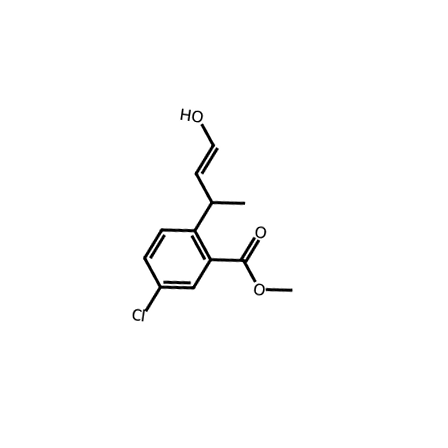 COC(=O)c1cc(Cl)ccc1C(C)/C=C/O